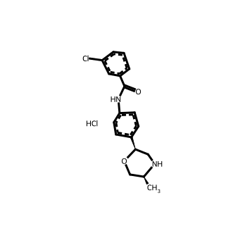 C[C@H]1CO[C@@H](c2ccc(NC(=O)c3cccc(Cl)c3)cc2)CN1.Cl